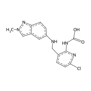 Cn1cc2cc(NCc3ccc(Cl)nc3NC(=O)O)ccc2n1